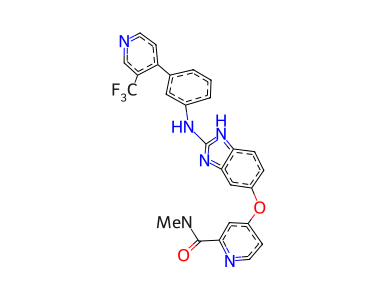 CNC(=O)c1cc(Oc2ccc3[nH]c(Nc4cccc(-c5ccncc5C(F)(F)F)c4)nc3c2)ccn1